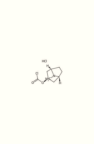 CN1[C@@H]2CC[C@H]1C[C@H](OC(=O)Cl)C2.Cl